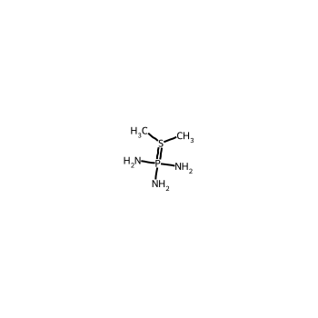 CS(C)=P(N)(N)N